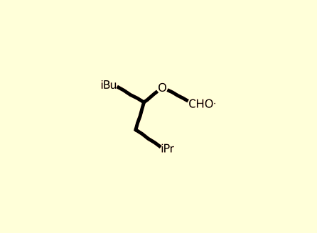 CCC(C)C(CC(C)C)O[C]=O